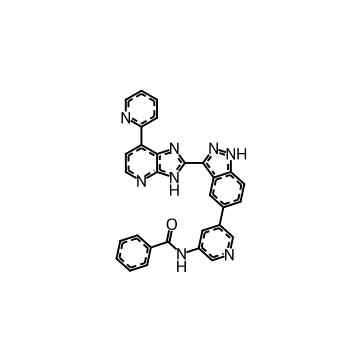 O=C(Nc1cncc(-c2ccc3[nH]nc(-c4nc5c(-c6ccccn6)ccnc5[nH]4)c3c2)c1)c1ccccc1